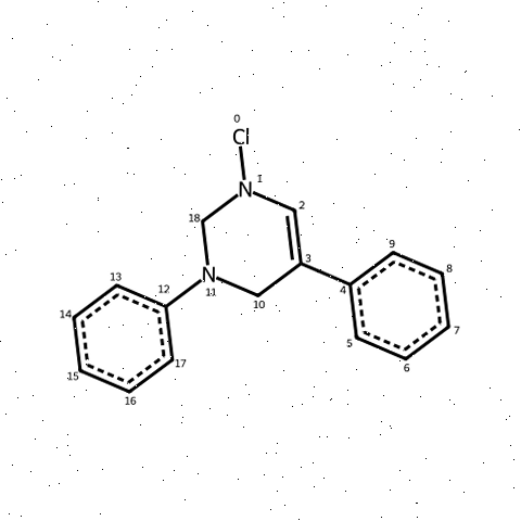 ClN1C=C(c2ccccc2)CN(c2ccccc2)C1